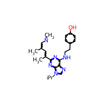 C=N/C=C(C)\C=C(/C)c1nc(NCCc2ccc(O)cc2)c2ncn(C(C)C)c2n1